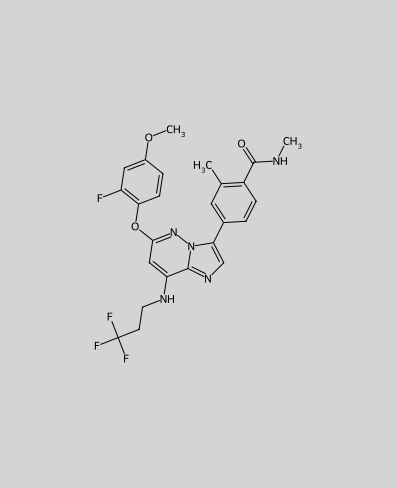 CNC(=O)c1ccc(-c2cnc3c(NCCC(F)(F)F)cc(Oc4ccc(OC)cc4F)nn23)cc1C